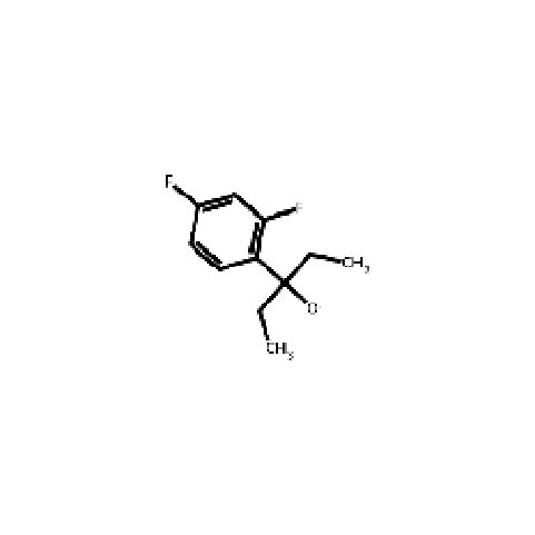 CCC([O])(CC)c1ccc(F)cc1F